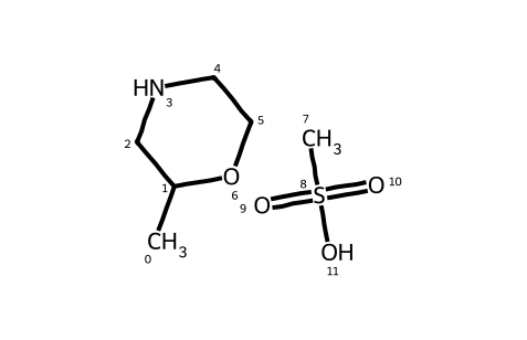 CC1CNCCO1.CS(=O)(=O)O